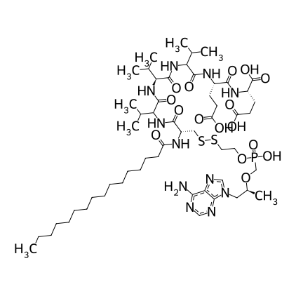 CCCCCCCCCCCCCCCC(=O)N[C@@H](CSSCCOP(=O)(O)CO[C@@H](C)Cn1cnc2c(N)ncnc21)C(=O)NC(C(=O)N[C@H](C(=O)NC(C(=O)N[C@@H](CCC(=O)O)C(=O)N[C@@H](CCC(=O)O)C(=O)O)C(C)C)C(C)C)C(C)C